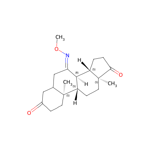 CON=C1CC2CC(=O)CC[C@]2(C)[C@H]2CC[C@]3(C)C(=O)CC[C@H]3[C@H]12